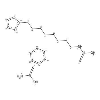 NC(O)=S.OC(=S)NCCCCCCCCc1ccco1.c1ccncc1